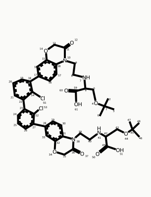 CC(C)(C)OCC(NCCN1C(=O)COc2cc(-c3cccc(-c4cccc(-c5ccc6c(c5)OCC(=O)N6CCNC(COC(C)(C)C)C(=O)O)c4Cl)c3Cl)ccc21)C(=O)O